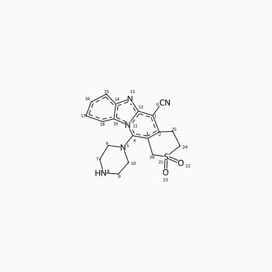 N#Cc1c2c(c(N3CCNCC3)n3c1nc1ccccc13)CS(=O)(=O)CC2